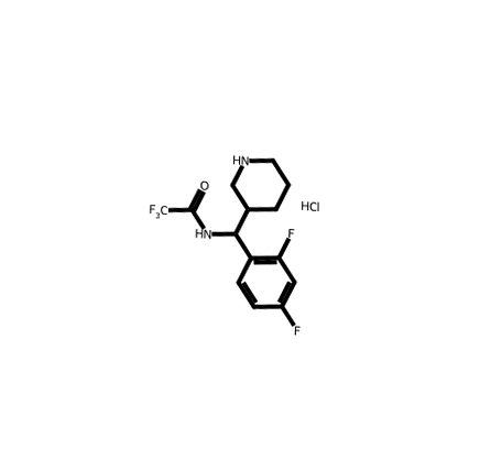 Cl.O=C(NC(c1ccc(F)cc1F)C1CCCNC1)C(F)(F)F